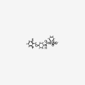 O=C(Nc1ccccc1[N+](=O)[O-])N[C@H]1CC[C@H](OCc2c(F)cccc2F)CC1